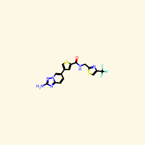 Nc1nc2ccc(-c3csc(C(=O)NCc4nc(C(F)(F)F)cs4)c3)cn2n1